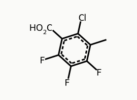 Cc1c(F)c(F)c(F)c(C(=O)O)c1Cl